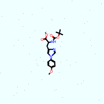 COC(=O)C(Cc1cn(-c2ccc(OC)cc2)cn1)NC(=O)OC(C)(C)C